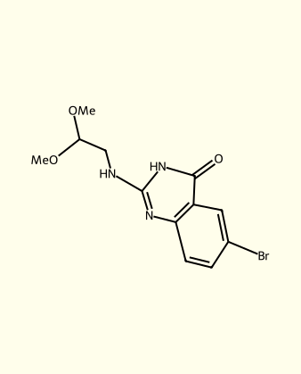 COC(CNc1nc2ccc(Br)cc2c(=O)[nH]1)OC